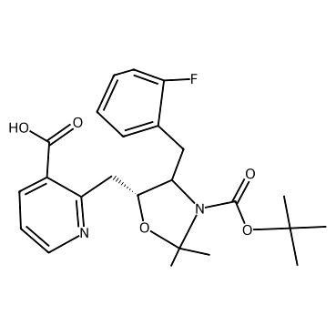 CC(C)(C)OC(=O)N1C(Cc2ccccc2F)[C@@H](Cc2ncccc2C(=O)O)OC1(C)C